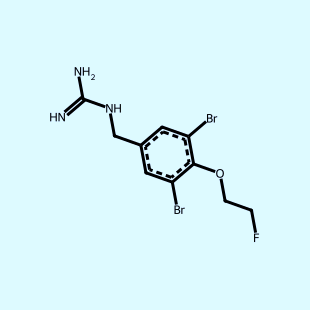 N=C(N)NCc1cc(Br)c(OCCF)c(Br)c1